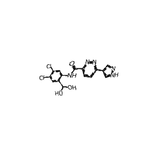 O=C(Nc1cc(Cl)c(Cl)cc1C(O)O)c1ccc(-c2cn[nH]c2)nn1